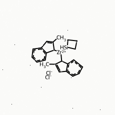 CC1=Cc2ccccc2[CH]1[Zr+2]([CH]1C(C)=Cc2ccccc21)[SiH]1CCC1.[Cl-].[Cl-]